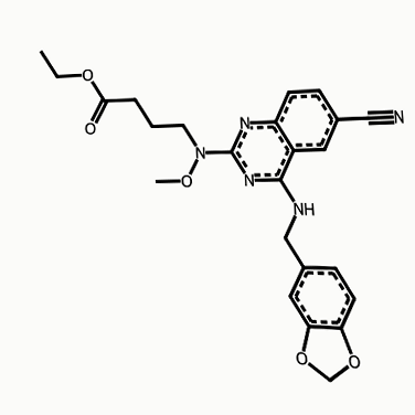 CCOC(=O)CCCN(OC)c1nc(NCc2ccc3c(c2)OCO3)c2cc(C#N)ccc2n1